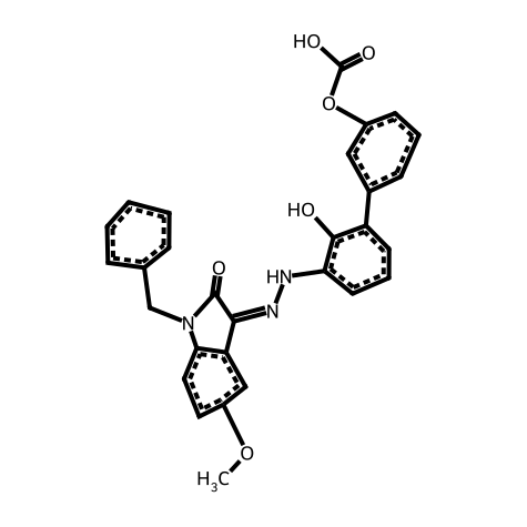 COc1ccc2c(c1)C(=NNc1cccc(-c3cccc(OC(=O)O)c3)c1O)C(=O)N2Cc1ccccc1